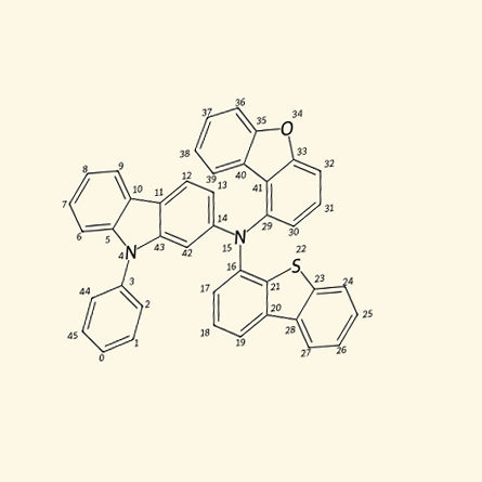 c1ccc(-n2c3ccccc3c3ccc(N(c4cccc5c4sc4ccccc45)c4cccc5oc6ccccc6c45)cc32)cc1